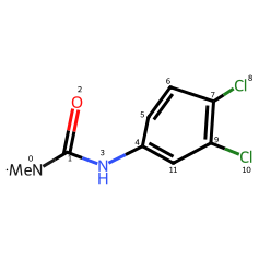 C[N]C(=O)Nc1ccc(Cl)c(Cl)c1